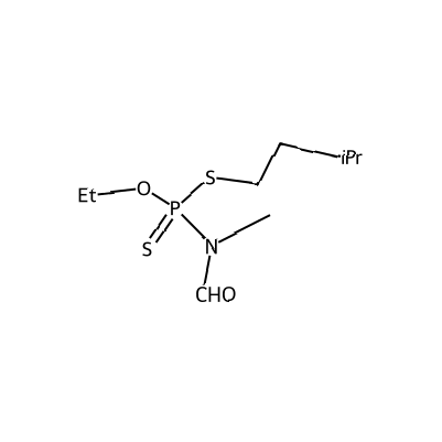 CCOP(=S)(SCCC(C)C)N(C)C=O